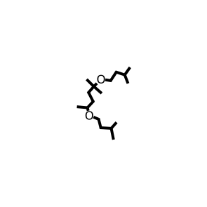 CC(C)CCOC(C)CCC(C)(C)OCCC(C)C